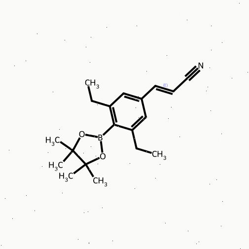 CCc1cc(/C=C/C#N)cc(CC)c1B1OC(C)(C)C(C)(C)O1